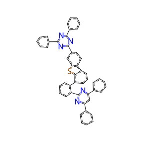 c1ccc(-c2cc(-c3ccccc3)nc(-c3ccccc3-c3cccc4c3sc3cc(-c5nc(-c6ccccc6)nc(-c6ccccc6)n5)ccc34)n2)cc1